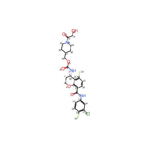 O=C(N[C@H]1CCOc2c(C(=O)Nc3ccc(F)c(Cl)c3)ccc(F)c21)OCC1CCN(C(=O)CO)CC1